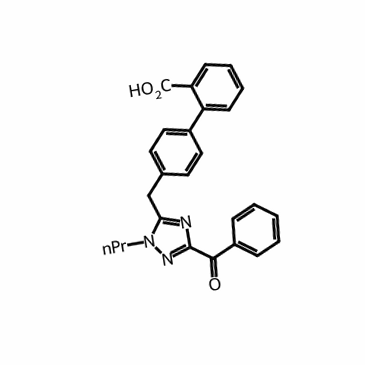 CCCn1nc(C(=O)c2ccccc2)nc1Cc1ccc(-c2ccccc2C(=O)O)cc1